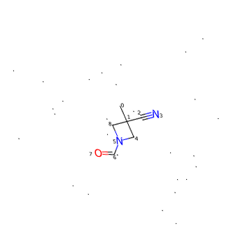 CC1(C#N)CN([C]=O)C1